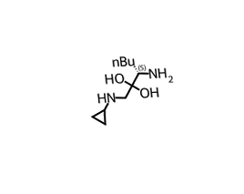 CCCC[C@H](N)C(O)(O)CNC1CC1